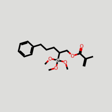 C=C(C)C(=O)OCC(CCCc1ccccc1)[Si](OC)(OC)OC